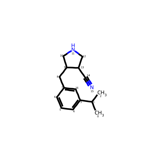 CC(C)c1cccc(CC2CNCC2C#N)c1